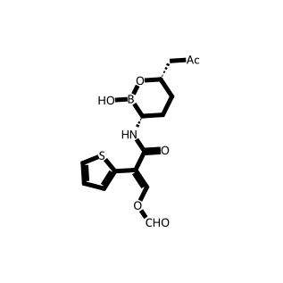 CC(=O)C[C@@H]1CC[C@H](NC(=O)/C(=C/OC=O)c2cccs2)B(O)O1